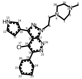 CN1CCN(CCn2nc(-c3cc[nH]c3)c3c(Cl)c(-c4ccccc4)nnc32)CC1